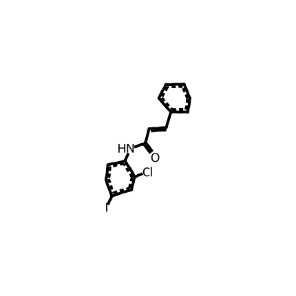 O=C(C=Cc1ccccc1)Nc1ccc(I)cc1Cl